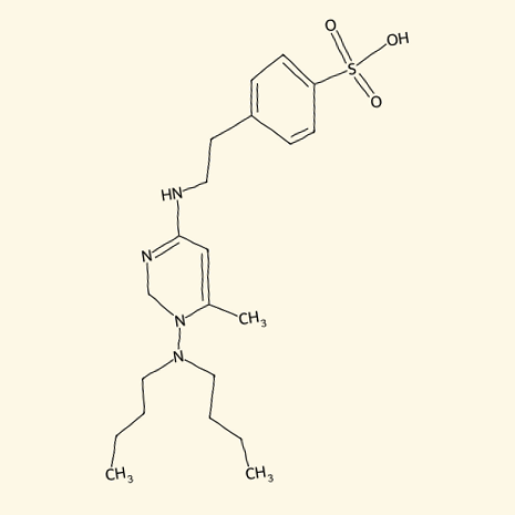 CCCCN(CCCC)N1CN=C(NCCc2ccc(S(=O)(=O)O)cc2)C=C1C